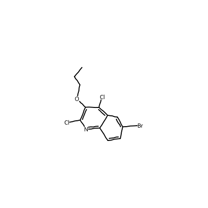 CCCOc1c(Cl)nc2ccc(Br)cc2c1Cl